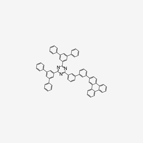 c1ccc(-c2cc(-c3ccccc3)cc(-c3nc(-c4cccc(-c5cccc(-c6ccc7c8ccccc8c8ccccc8c7c6)c5)c4)nc(-c4cc(-c5ccccc5)cc(-c5ccccc5)c4)n3)c2)cc1